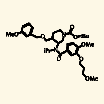 COCCCOc1cc(C(=O)N(C(C)C)C2CN(C(=O)OC(C)(C)C)CCC2COCc2cccc(OC)c2)ccc1OC